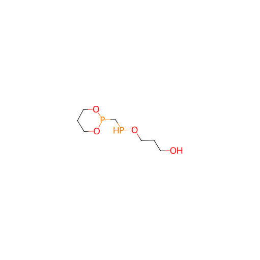 OCCCOPCP1OCCCO1